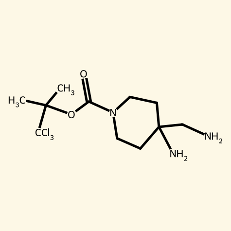 CC(C)(OC(=O)N1CCC(N)(CN)CC1)C(Cl)(Cl)Cl